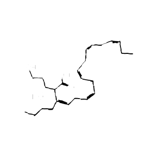 CC/C=C\C/C=C\C/C=C\C/C=C\C/C=C(/CCCC)C(C(=O)O)[C@H](O)CCO